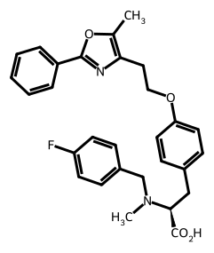 Cc1oc(-c2ccccc2)nc1CCOc1ccc(C[C@@H](C(=O)O)N(C)Cc2ccc(F)cc2)cc1